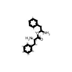 NC(Cc1ccccc1)OC(=O)[C@@H](N)Cc1ccccc1